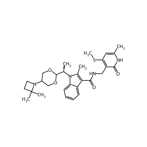 CSc1cc(C)[nH]c(=O)c1CNC(=O)c1c(C)n([C@H](C)C2OCC(N3CCC3(C)C)CO2)c2ccccc12